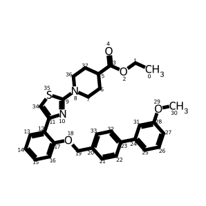 CCOC(=O)C1CCN(c2nc(-c3ccccc3OCc3ccc(-c4cccc(OC)c4)cc3)cs2)CC1